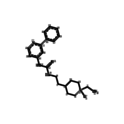 CC[N+]1([O-])CCC(CCNC(=O)Nc2cc(-c3ccccc3)ncn2)CC1